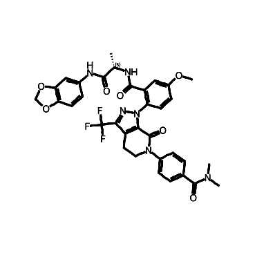 COc1ccc(-n2nc(C(F)(F)F)c3c2C(=O)N(c2ccc(C(=O)N(C)C)cc2)CC3)c(C(=O)N[C@@H](C)C(=O)Nc2ccc3c(c2)OCO3)c1